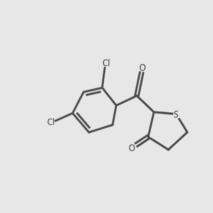 O=C1CCSC1C(=O)C1CC=C(Cl)C=C1Cl